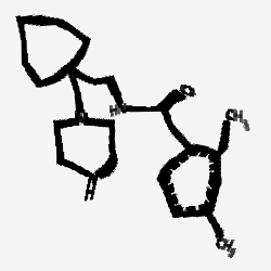 Cc1ccc(C(=O)NCC2(N3CCNCC3)CCCCC2)c(C)c1